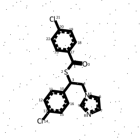 O=C(SC(Cn1ccnc1)c1ccc(Cl)cc1)c1ccc(Cl)cc1